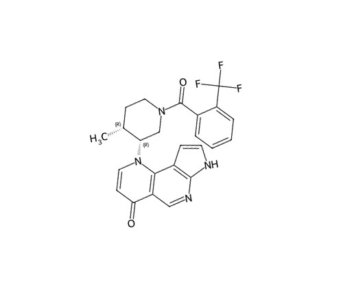 C[C@@H]1CCN(C(=O)c2ccccc2C(F)(F)F)C[C@@H]1n1ccc(=O)c2cnc3[nH]ccc3c21